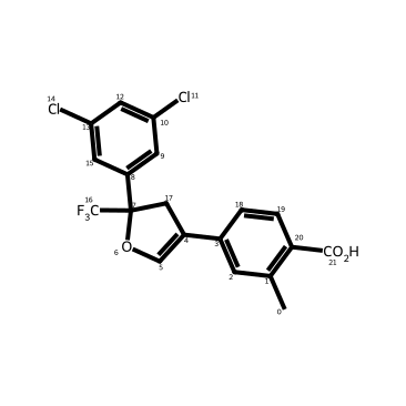 Cc1cc(C2=COC(c3cc(Cl)cc(Cl)c3)(C(F)(F)F)C2)ccc1C(=O)O